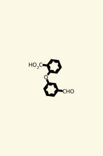 O=Cc1cccc(Oc2ccccc2C(=O)O)c1